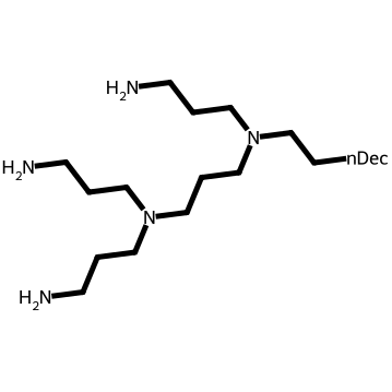 CCCCCCCCCCCCN(CCCN)CCCN(CCCN)CCCN